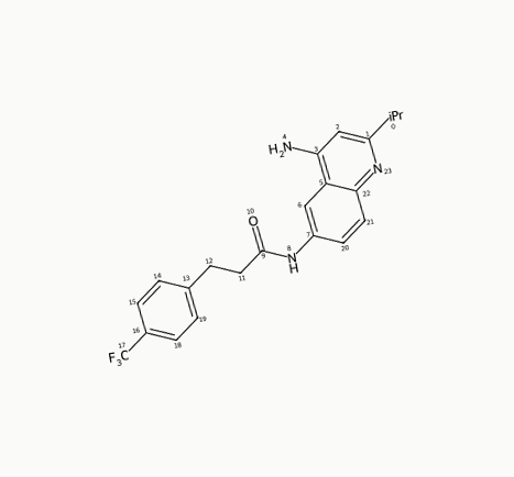 CC(C)c1cc(N)c2cc(NC(=O)CCc3ccc(C(F)(F)F)cc3)ccc2n1